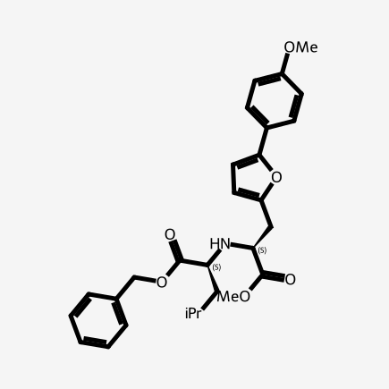 COC(=O)[C@H](Cc1ccc(-c2ccc(OC)cc2)o1)N[C@@H](CC(C)C)C(=O)OCc1ccccc1